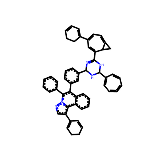 C1=CC=CC(C2NC(C3=CC(C4=CC=CCC4)=CC=C4CC43)=NC(c3cccc(-c4c(-c5ccccc5)n5ncc(C6=CCCC=C6)c5c5ccccc45)c3)N2)=CC=1